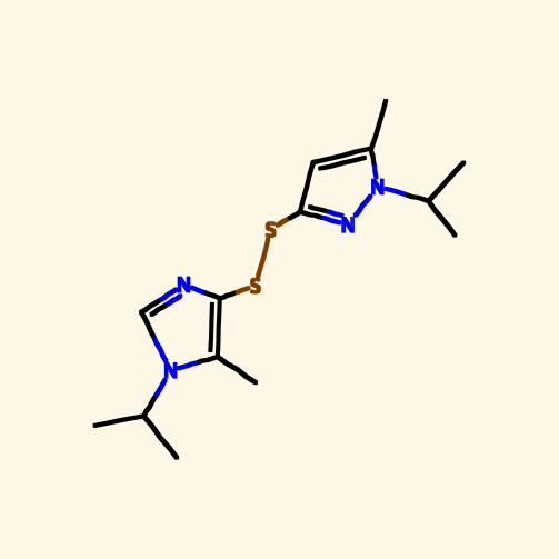 Cc1c(SSc2cc(C)n(C(C)C)n2)ncn1C(C)C